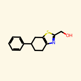 OCc1nc2c(s1)CC(c1ccccc1)CC2